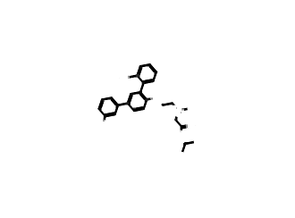 CC(C)OC(=O)CN(C)CCOc1ccc(-c2cccc(Cl)c2)cc1-c1ccccc1Cl